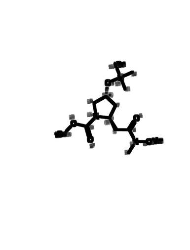 CON(C)C(=O)C[C@@H]1C[C@@H](O[Si](C)(C)C(C)(C)C)CN1C(=O)OC(C)(C)C